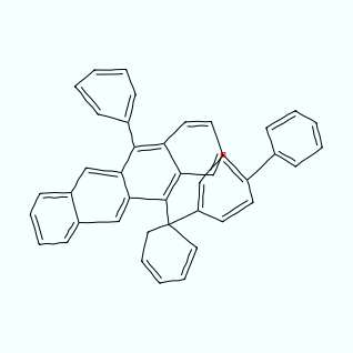 C1=CCC(c2ccc(-c3ccccc3)cc2)(c2c3ccccc3c(-c3ccccc3)c3cc4ccccc4cc23)C=C1